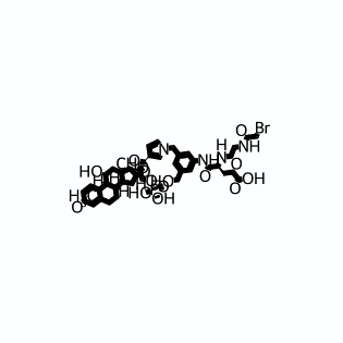 C[C@]12C=CC(=O)C=C1CC[C@@H]1[C@@H]2[C@@H](O)C[C@@]2(C)[C@H]1C[C@H]1O[C@@H](c3ccn(Cc4cc(CO)cc(NC(=O)[C@H](CCC(=O)O)NC(=O)CNC(=O)CBr)c4)c3)O[C@]12C(=O)COP(=O)(O)O